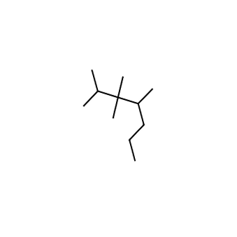 CCCC(C)C(C)(C)C(C)C